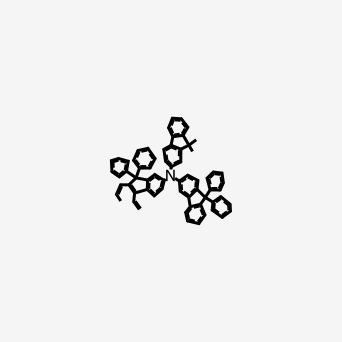 C=CC1=C(/C=C\C)C(c2ccccc2)(c2ccccc2)c2cc(N(c3ccc4c(c3)-c3ccccc3C4(c3ccccc3)c3ccccc3)c3ccc4c(c3)C(C)(C)c3ccccc3-4)ccc21